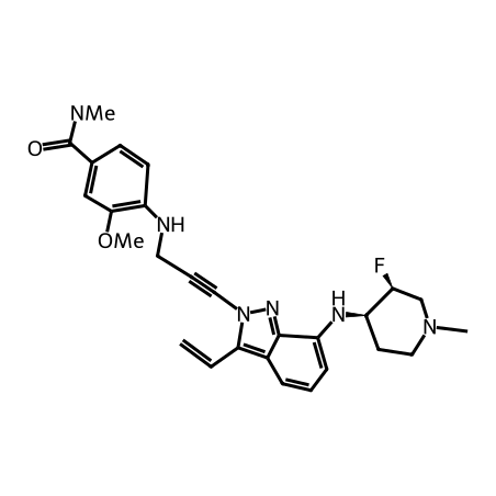 C=Cc1c2cccc(N[C@@H]3CCN(C)C[C@@H]3F)c2nn1C#CCNc1ccc(C(=O)NC)cc1OC